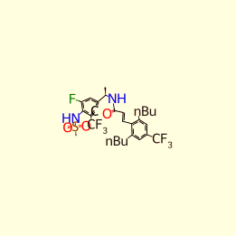 CCCCc1cc(C(F)(F)F)cc(CCCC)c1/C=C/C(=O)N[C@H](C)c1cc(F)c(NS(C)(=O)=O)c(C(F)(F)F)c1